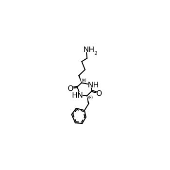 NCCCC[C@H]1NC(=O)[C@@H](Cc2ccccc2)NC1=O